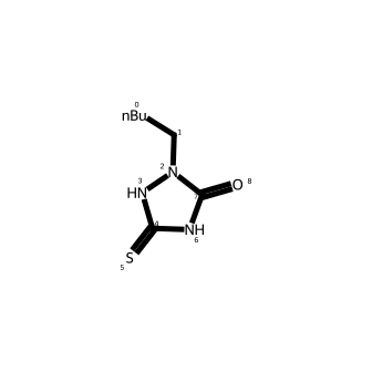 CCCCCn1[nH]c(=S)[nH]c1=O